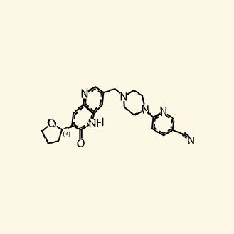 N#Cc1ccc(N2CCN(Cc3cnc4cc([C@H]5CCCO5)c(=O)[nH]c4c3)CC2)nc1